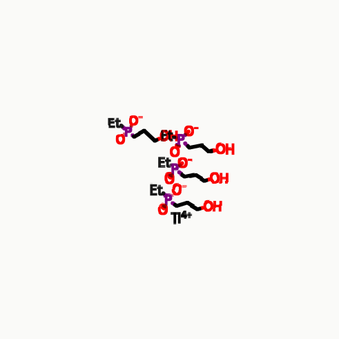 CCP(=O)([O-])CCCO.CCP(=O)([O-])CCCO.CCP(=O)([O-])CCCO.CCP(=O)([O-])CCCO.[Ti+4]